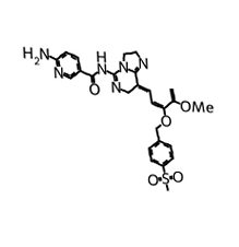 C=C(OC)/C(=C\C=C1/CN=C(NC(=O)c2ccc(N)nc2)N2CCN=C12)OCc1ccc(S(C)(=O)=O)cc1